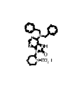 O=C(O)N1CCCCC1n1c(=O)[nH]c2c(N(Cc3ccccc3)Cc3ccccc3)ncnc21